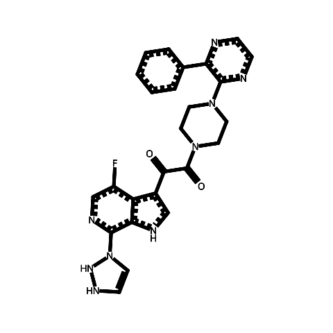 O=C(C(=O)N1CCN(c2nccnc2-c2ccccc2)CC1)c1c[nH]c2c(N3C=CNN3)ncc(F)c12